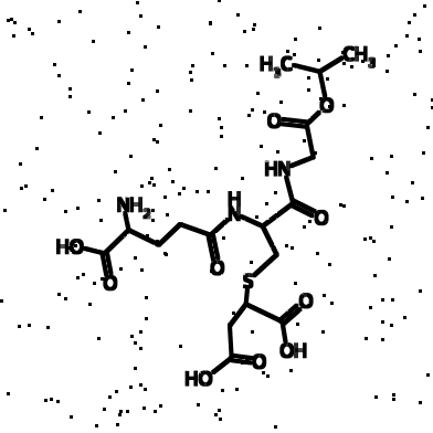 CC(C)OC(=O)CNC(=O)C(CSC(CC(=O)O)C(=O)O)NC(=O)CCC(N)C(=O)O